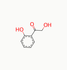 O=C(CO)c1ccccc1O